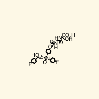 O=C(COc1ccc([C@@H]2[C@@H](SCC(O)c3ccc(F)cc3)C(=O)N2c2ccc(F)cc2)cc1)NCC(=O)N[C@H](CO)C(=O)O